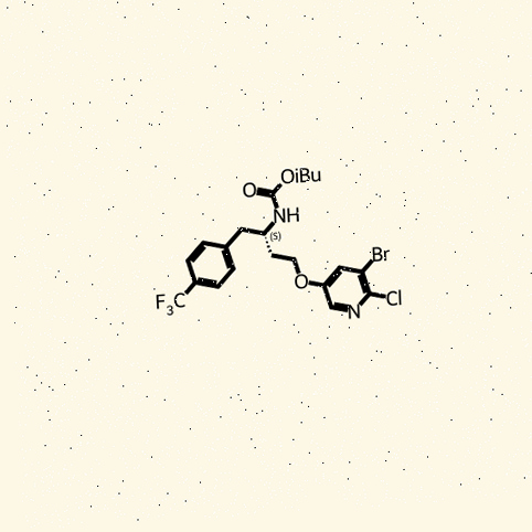 CC(C)COC(=O)N[C@H](CCOc1cnc(Cl)c(Br)c1)Cc1ccc(C(F)(F)F)cc1